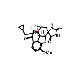 COc1ccc2c3c1O[C@@H]1[C@]4(CC[C@]5(O)[C@H](C2=O)N(CC2CC2)CC[C@@]315)NC(=O)NC4=O